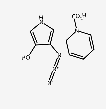 O=C(O)N1C=CC=CC1.[N-]=[N+]=Nc1c[nH]cc1O